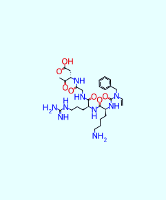 C=CN(Cc1ccccc1)C(=O)N[C@@H](CCCCN)C(=O)N[C@@H](CCCNC(=N)N)C(=O)NCC(=O)N[C@@H](CC(=O)O)C(C)=O